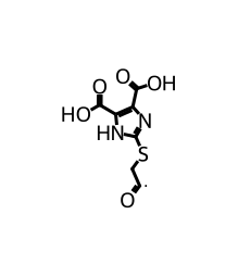 O=[C]CSc1nc(C(=O)O)c(C(=O)O)[nH]1